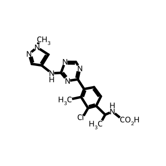 Cc1c(-c2ncnc(Nc3cnn(C)c3)n2)ccc(C(C)NC(=O)O)c1Cl